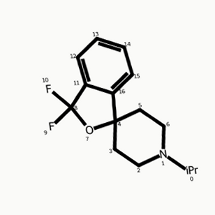 CC(C)N1CCC2(CC1)OC(F)(F)c1ccccc12